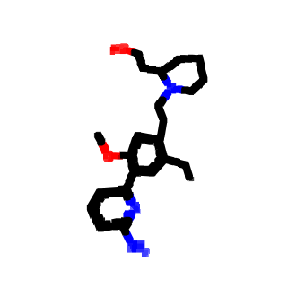 CCc1cc(-c2cccc(N)n2)c(OC)cc1CCN1CCCCC1CCO